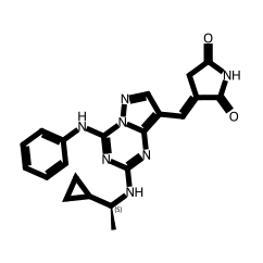 C[C@H](Nc1nc(Nc2ccccc2)n2ncc(C=C3CC(=O)NC3=O)c2n1)C1CC1